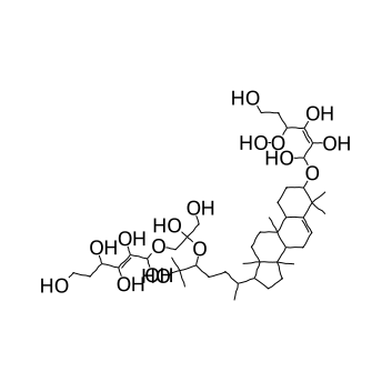 CC(CCC(OC(O)(CO)COC(O)/C(O)=C(\O)C(O)CCO)C(C)(C)O)C1CCC2(C)C3CC=C4C(CCC(OC(O)/C(O)=C(/O)C(CCO)OO)C4(C)C)C3(C)CCC12C